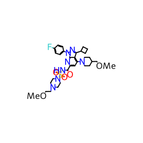 COCCN1CCN(S(=O)(=O)NC(=O)c2cc(N3CCC(COC)CC3)c3c(C4CCC4)nn(-c4ccc(F)cc4)c3n2)CC1